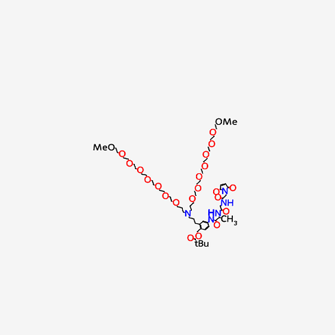 COCCOCCOCCOCCOCCOCCOCCOCCCN(CCCOCCOCCOCCOCCOCCOCCOCCOC)CCCc1cc(NC(=O)C(C)NC(=O)CNC(=O)CN2C(=O)C=CC2=O)ccc1COC(=O)C(C)(C)C